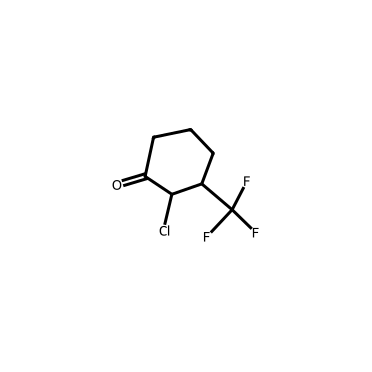 O=C1CCCC(C(F)(F)F)C1Cl